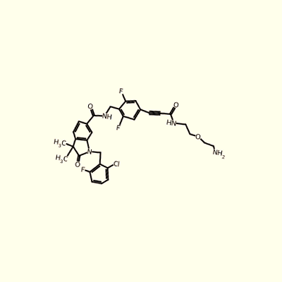 CC1(C)C(=O)N(Cc2c(F)cccc2Cl)c2cc(C(=O)NCc3c(F)cc(C#CC(=O)NCCOCCN)cc3F)ccc21